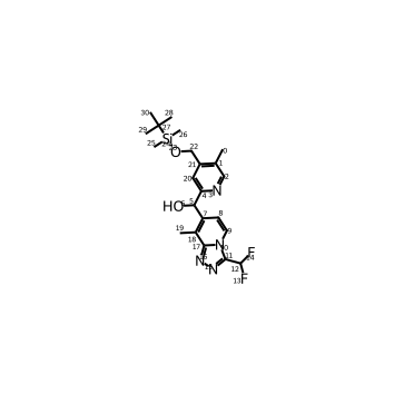 Cc1cnc(C(O)c2ccn3c(C(F)F)nnc3c2C)cc1CO[Si](C)(C)C(C)(C)C